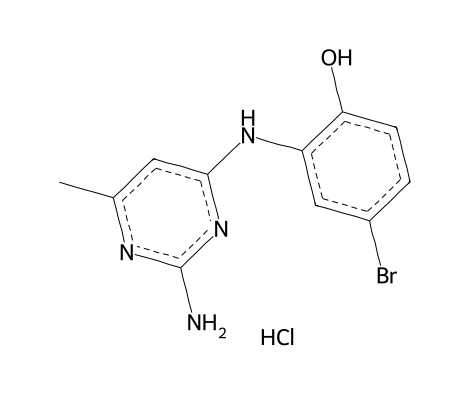 Cc1cc(Nc2cc(Br)ccc2O)nc(N)n1.Cl